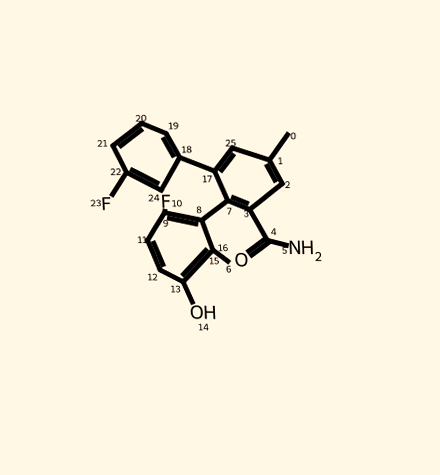 Cc1cc(C(N)=O)c(-c2c(F)ccc(O)c2C)c(-c2cccc(F)c2)c1